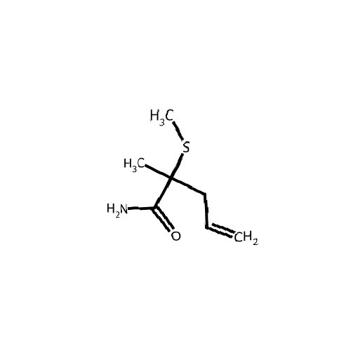 C=CCC(C)(SC)C(N)=O